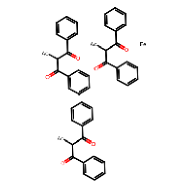 CC(=O)C(C(=O)c1ccccc1)C(=O)c1ccccc1.CC(=O)C(C(=O)c1ccccc1)C(=O)c1ccccc1.CC(=O)C(C(=O)c1ccccc1)C(=O)c1ccccc1.[Fe]